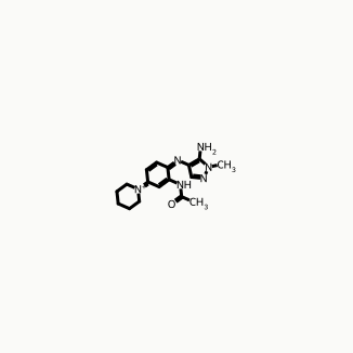 CC(=O)NC1=CC(=[N+]2CCCCC2)C=C/C1=N/c1cnn(C)c1N